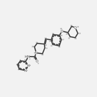 O=C(Nc1cccnn1)N1CCC(=Cc2cccc(OC3CCCOC3)c2)CC1